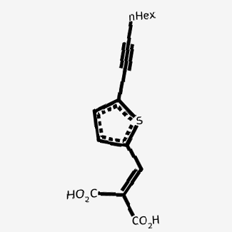 CCCCCCC#Cc1ccc(C=C(C(=O)O)C(=O)O)s1